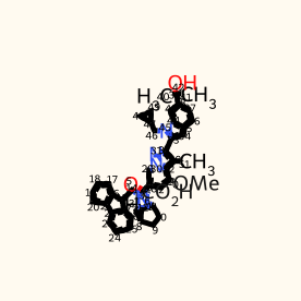 COc1cc(C(=O)N2CC3CCC2[C@@H]3N(CC2c3ccccc3-c3ccccc32)C(=O)O)cn2nc(-c3cc4ccc(C(C)(C)O)cc4n3CC3CC3)c(C)c12